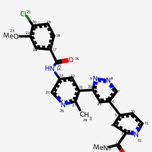 CNC(=O)c1cc(-c2cnnc(-c3cc(NC(=O)c4ccc(Cl)c(OC)c4)cnc3C)c2)ccn1